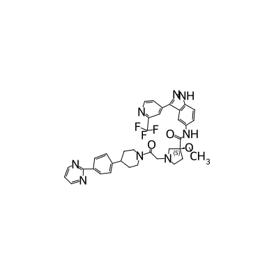 CO[C@@]1(C(=O)Nc2ccc3[nH]nc(-c4ccnc(C(F)(F)F)c4)c3c2)CCN(CC(=O)N2CCC(c3ccc(-c4ncccn4)cc3)CC2)C1